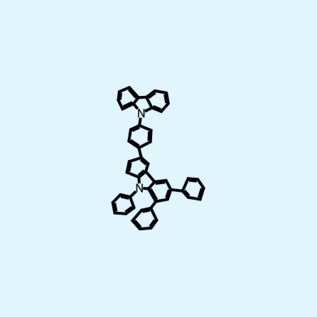 c1ccc(-c2cc(-c3ccccc3)c3c(c2)c2cc(-c4ccc(-n5c6ccccc6c6ccccc65)cc4)ccc2n3-c2ccccc2)cc1